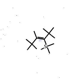 C/C(=C(\C(C)(C)C)[Si](C)(C)C)C(C)(C)C